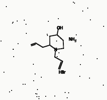 Br.C=CCC1CC(O)CCN1CC=C.N